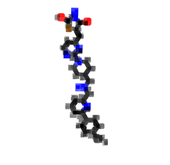 O=C1NC(=O)/C(=C/c2ccnc(N3CCC(CNCc4cccc(-c5ccc(C(F)(F)F)cc5)n4)CC3)n2)S1